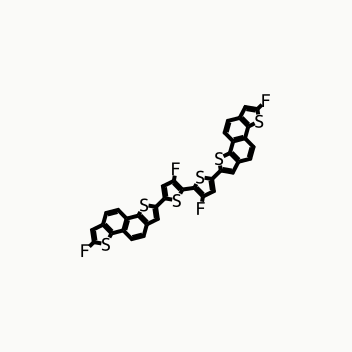 Fc1cc2ccc3c(ccc4cc(-c5cc(F)c(-c6sc(-c7cc8ccc9c(ccc%10cc(F)sc%109)c8s7)cc6F)s5)sc43)c2s1